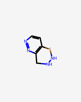 c1cc2c(nn1)CNNS2